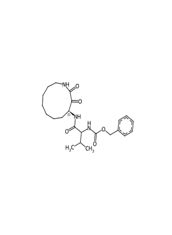 CC(C)C(NC(=O)OCc1ccccc1)C(=O)N[C@H]1CCCCCCCNC(=O)C1=O